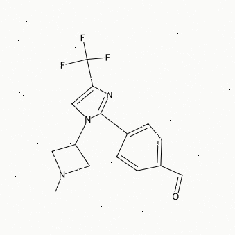 CN1CC(n2cc(C(F)(F)F)nc2-c2ccc(C=O)cc2)C1